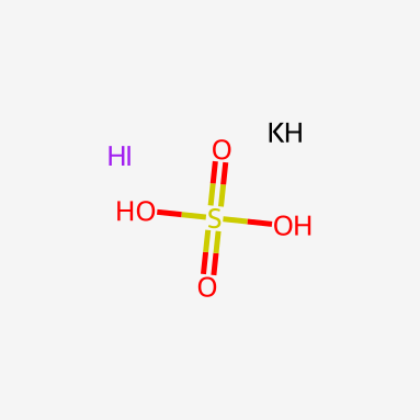 I.O=S(=O)(O)O.[KH]